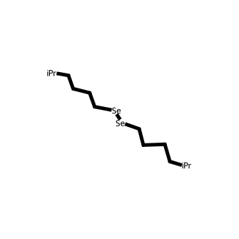 CC(C)CCCC[Se][Se]CCCCC(C)C